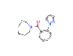 O=C(c1ccccc1-n1cccn1)N1CCCCCC1